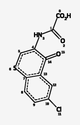 O=C(O)C(=O)Nc1csc2ccc(Cl)cc2c1=O